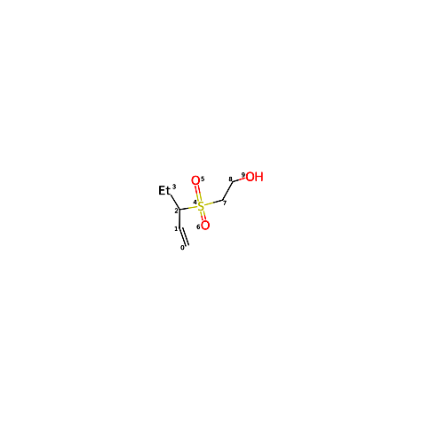 C=CC(CC)S(=O)(=O)CCO